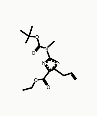 C=CCc1sc(N(C)C(=O)OC(C)(C)C)nc1C(=O)OCC